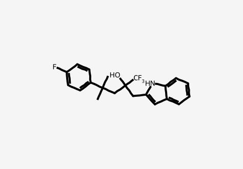 CC(C)(CC(O)(Cc1cc2ccccc2[nH]1)C(F)(F)F)c1ccc(F)cc1